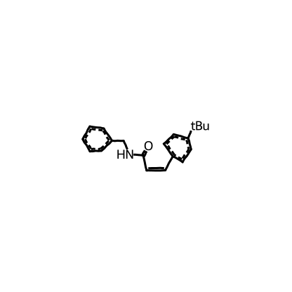 CC(C)(C)c1ccc(/C=C\C(=O)NCc2ccccc2)cc1